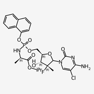 CC(C)OC(=O)[C@@H](C)NP(=O)(OC[C@H]1OC(n2cc(Cl)c(N)nc2=O)[C@](C)(F)[C@@H]1O)Oc1cccc2ccccc12